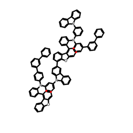 c1ccc(-c2cccc(-c3ccc(N(c4cccc(-n5c6ccccc6c6cc(-c7cccc8c7oc7cccc(-c9ccccc9N(c9cccc(-c%10cccc(-c%11ccccc%11)c%10)c9)c9cccc(-n%10c%11ccccc%11c%11ccccc%11%10)c9)c78)ccc65)c4)c4ccccc4-c4cccc5oc6ccccc6c45)cc3)c2)cc1